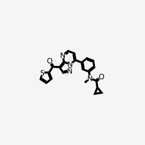 CN(C(=O)C1CC1)c1cccc(-c2ccnc3c(C(=O)c4cccs4)cnn23)c1